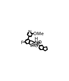 COc1cc(-c2cc(F)cc(C(C)C)c2CC(=O)NS(=O)(=O)c2ccc3c(c2)CCC3)ccn1